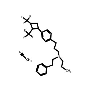 CC#N.CCCN(CCCc1ccc(C2CC(C(F)(F)F)C2C(F)(F)F)cc1)CCc1ccccc1